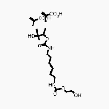 C=C(C)C(=O)O.C=C(C)C(=O)O.CC(OC(=O)NCCCCCCNC(=O)OCCO)C(C)(C)O